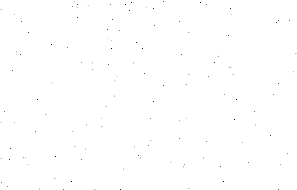 N#CC1=Nc2ccc(Cl)cc2Cc2ccccc21